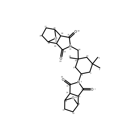 CC1(C)CC(N2C(=O)C3C4CCC(O4)C3C2=O)CC(C)(CN2C(=O)C3C4CCC(O4)C3C2=O)C1